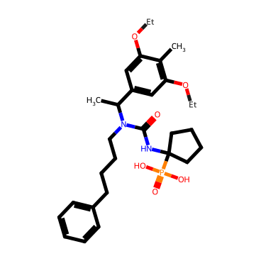 CCOc1cc(C(C)N(CCCCc2ccccc2)C(=O)NC2(P(=O)(O)O)CCCC2)cc(OCC)c1C